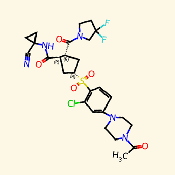 CC(=O)N1CCN(c2ccc(S(=O)(=O)[C@@H]3C[C@@H](C(=O)NC4(C#N)CC4)[C@H](C(=O)N4CCC(F)(F)C4)C3)c(Cl)c2)CC1